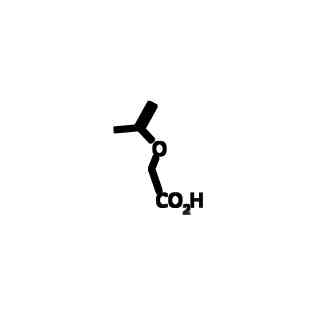 C=C(C)OCC(=O)O